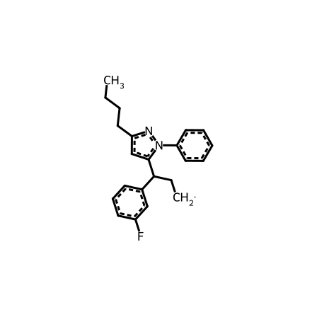 [CH2]CC(c1cccc(F)c1)c1cc(CCCC)nn1-c1ccccc1